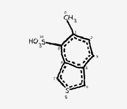 Cc1ccc2[c]s[c]c2c1S(=O)(=O)O